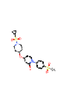 CS(=O)(=O)c1ccc(-n2ccc(OC3CCN(S(=O)(=O)C4CC4)CC3)cc2=O)cc1